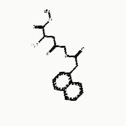 CC(C)(C)OC(=O)C(N)CC(=O)COC(=O)Cc1cccc2ccccc12